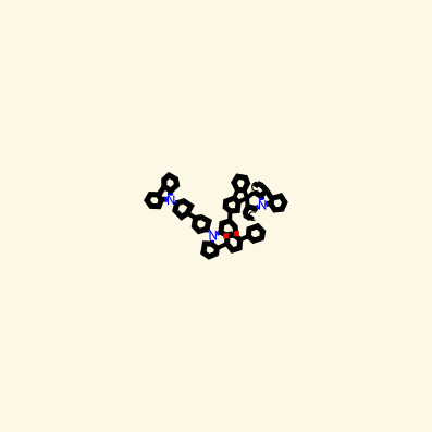 c1ccc(-c2ccc(-c3ccccc3N(c3ccc(-c4ccc(-n5c6ccccc6c6ccccc65)cc4)cc3)c3cccc(-c4ccc5c(c4)C4(c6ccccc6-5)c5ccccc5-n5c6ccccc6c6cccc4c65)c3)cc2)cc1